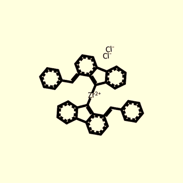 C(c1ccccc1)=c1cccc2c1=[C]([Zr+2][C]1=c3c(cccc3=Cc3ccccc3)-c3ccccc31)c1ccccc1-2.[Cl-].[Cl-]